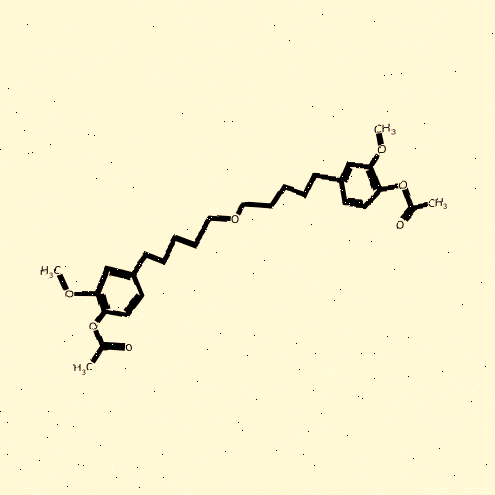 COc1cc(CCCCCOCCCCCc2ccc(OC(C)=O)c(OC)c2)ccc1OC(C)=O